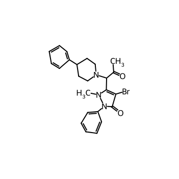 CC(=O)C(c1c(Br)c(=O)n(-c2ccccc2)n1C)N1CCC(c2ccccc2)CC1